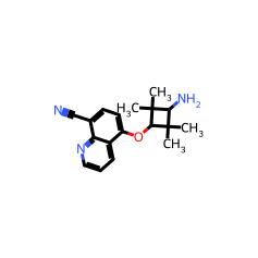 CC1(C)C(N)C(C)(C)C1Oc1ccc(C#N)c2ncccc12